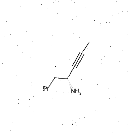 CC#C[C@H](N)CC(C)C